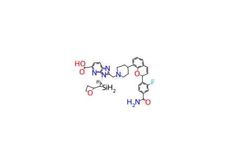 NC(=O)c1ccc(C2C=Cc3cccc(C4CCN(Cc5nc6ccc(C(=O)O)nc6n5[C@@H]5[SiH2]C5C5CCO5)CC4)c3O2)c(F)c1